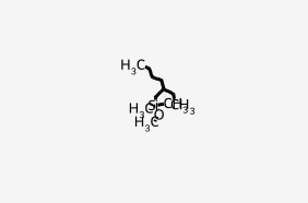 CCCCC(CC)C[Si](C)(C)OC